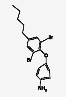 CCCCCc1cc(Br)c(Oc2ccc(N)cc2)c(Br)c1